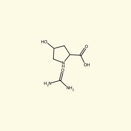 NC(N)=O.O=C(O)C1CC(O)CN1